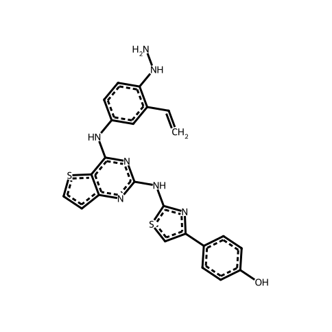 C=Cc1cc(Nc2nc(Nc3nc(-c4ccc(O)cc4)cs3)nc3ccsc23)ccc1NN